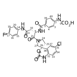 O=C(O)Nc1ccc(C(=O)N[C@@H](CC(=O)Nc2ccc(F)cc2)C(=O)N2CC[C@@]3(C2)OC(=O)Nc2ccc(Cl)cc23)cc1